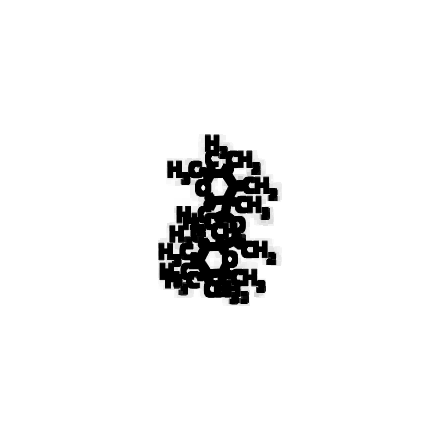 C=C1C(=C)C(C)(C(=C)OC(=C)C2(C)OC(C)(C)C(C)(C)C(C)(C)C2=C)C(=C)OC1(C)C